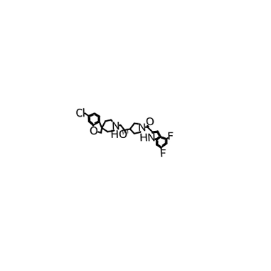 O=C(c1cc2c(F)cc(F)cc2[nH]1)N1CCC([C@H](O)CN2CCC3(CC2)COc2cc(Cl)ccc23)CC1